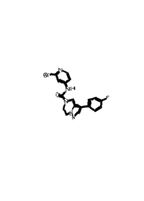 O=C(Nc1ccnc(Br)c1)N1CCn2ncc(-c3ccc(F)cc3)c2C1